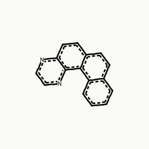 c1ccc2c(c1)ccc1ccc3nccnc3c12